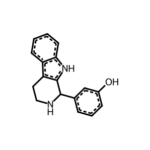 Oc1cccc(C2NCCc3c2[nH]c2ccccc32)c1